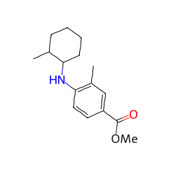 COC(=O)c1ccc(NC2CCCCC2C)c(C)c1